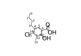 CCCCc1cc(C(=O)O)c(O)c(C)c1Cl